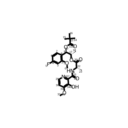 COc1cc(F)ccc1[C@@H](OC(=O)C(C)(C)C)[C@H](C)OC(=O)[C@H](C)NC(=O)c1nccc(OC)c1O